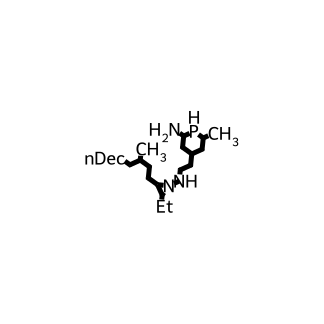 CCCCCCCCCCCC(C)CCC1C(CC)N1NCCC1CC(C)PC(N)C1